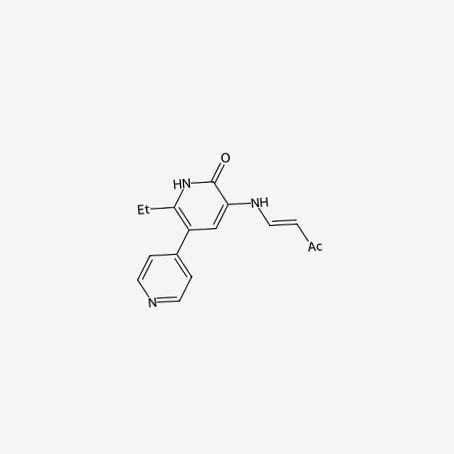 CCc1[nH]c(=O)c(N/C=C/C(C)=O)cc1-c1ccncc1